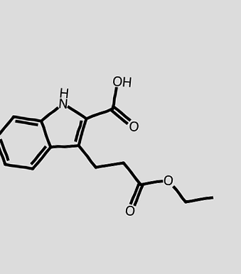 CCOC(=O)CCc1c(C(=O)O)[nH]c2ccccc12